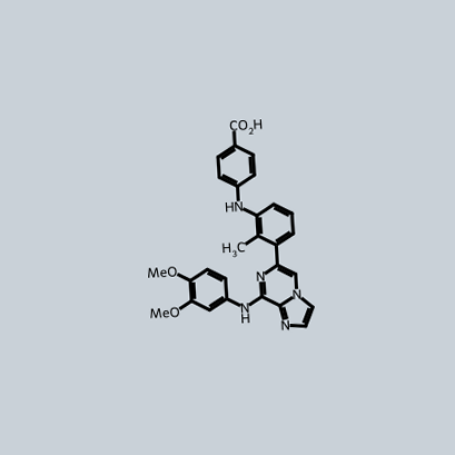 COc1ccc(Nc2nc(-c3cccc(Nc4ccc(C(=O)O)cc4)c3C)cn3ccnc23)cc1OC